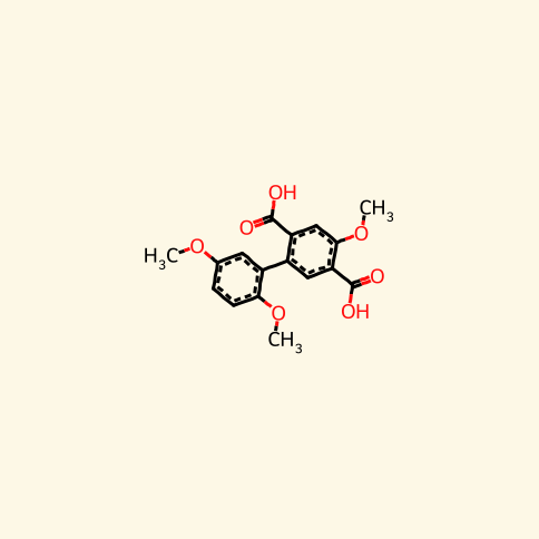 COc1ccc(OC)c(-c2cc(C(=O)O)c(OC)cc2C(=O)O)c1